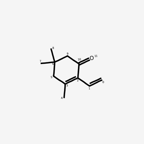 C=CC1=C(C)CC(C)(C)CC1=O